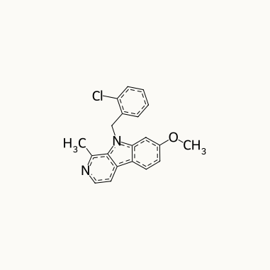 COc1ccc2c3ccnc(C)c3n(Cc3ccccc3Cl)c2c1